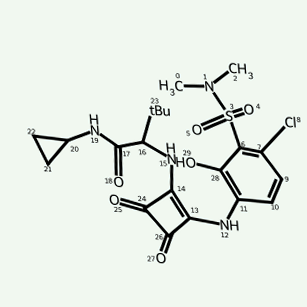 CN(C)S(=O)(=O)c1c(Cl)ccc(Nc2c(NC(C(=O)NC3CC3)C(C)(C)C)c(=O)c2=O)c1O